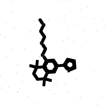 COCCOCOc1cc(-c2cccs2)cc2c1C(C)(C)CCC2(C)C